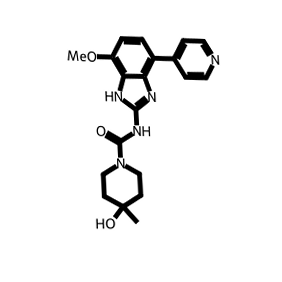 COc1ccc(-c2ccncc2)c2nc(NC(=O)N3CCC(C)(O)CC3)[nH]c12